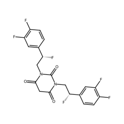 O=C1CC(=O)N(C[C@@H](F)c2ccc(F)c(F)c2)C(=O)N1C[C@@H](F)c1ccc(F)c(F)c1